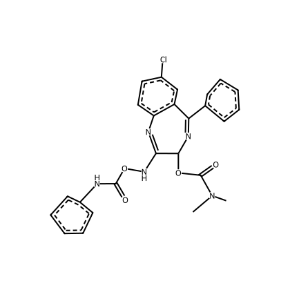 CN(C)C(=O)OC1N=C(c2ccccc2)c2cc(Cl)ccc2N=C1NOC(=O)Nc1ccccc1